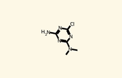 CN(C)c1nc(N)nc(Cl)n1